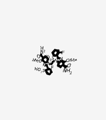 COc1c(C(N)=O)ccc2c1nc(-c1c(F)cccc1S(=O)(=O)O)n2CCn1c(-c2c(F)cccc2S(=O)(=O)O)nc2c(OC)c(C(N)=O)ccc21